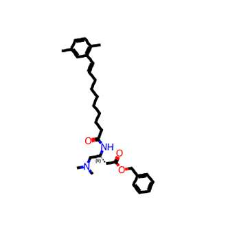 Cc1ccc(C)c(C=CCCCCCCCC(=O)N[C@H](CC(=O)OCc2ccccc2)CN(C)C)c1